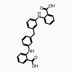 O=C(O)c1ccccc1Nc1cccc(Cc2cccc(Nc3ccccc3C(=O)O)c2)c1